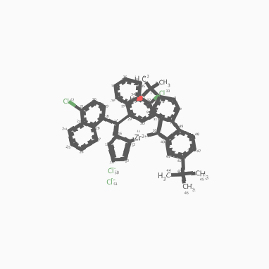 CC(C)(C)c1ccc2c(c1)[CH]([Zr+2][C]1=CC=CC1=C(c1ccc(Cl)c3ccccc13)c1ccc(Cl)c3ccccc13)c1cc(C(C)(C)C)ccc1-2.[Cl-].[Cl-]